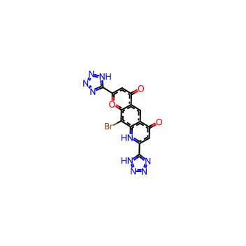 O=c1cc(-c2nnn[nH]2)[nH]c2c(Br)c3oc(-c4nnn[nH]4)cc(=O)c3cc12